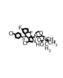 CC(C)(C)N(CC1CN(c2cc(C(Sc3ccc(Cl)cc3)c3cc(F)ccc3F)c(Cl)cn2)CCO1)C(=O)O